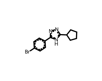 Brc1ccc(-c2nnc(C3CCCC3)[nH]2)cc1